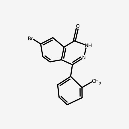 Cc1ccccc1-c1n[nH]c(=O)c2cc(Br)ccc12